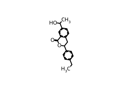 CCc1ccc(C2Cc3ccc(C(C)O)cc3C(=O)O2)cc1